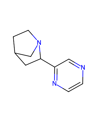 c1cnc(C2CC3CCN2C3)cn1